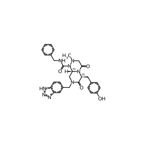 CN1CC(=O)N2[C@@H](Cc3ccc(O)cc3)C(=O)N(Cc3ccc4[nH]nnc4c3)C[C@@H]2N1C(=O)NCc1ccccc1